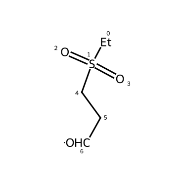 CCS(=O)(=O)CC[C]=O